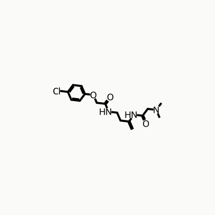 C=C(CCNC(=O)COc1ccc(Cl)cc1)NC(=O)CN(C)C